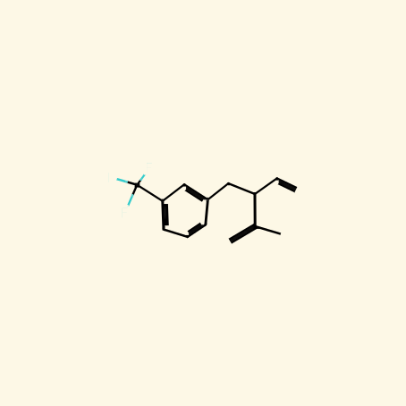 C=CC(Cc1cccc(C(F)(F)F)c1)C(=C)C